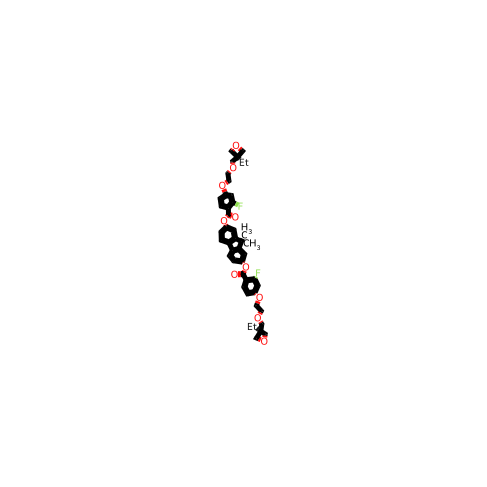 CCC1(COCCOc2ccc(C(=O)Oc3ccc4c(c3)C(C)(C)c3cc(OC(=O)c5ccc(OCCOCC6(CC)COC6)cc5F)ccc3-4)c(F)c2)COC1